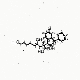 CCCCCCC(O)CC(O)(C(=O)O)C(C(=O)O)c1ccc(Cl)cc1C(=O)c1ccccc1